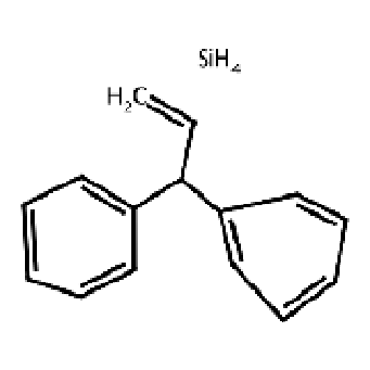 C=CC(c1ccccc1)c1ccccc1.[SiH4]